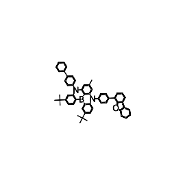 Cc1cc2c3c(c1)N(c1ccc(-c4ccccc4)cc1)c1cc(C(C)(C)C)ccc1B3c1cc(C(C)(C)C)ccc1N2c1ccc(-c2cccc3c2oc2ccccc23)cc1